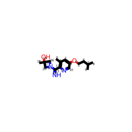 Cc1cc(OCCC(C)C)cnc1C(=N)N1CC(C)(O)C1